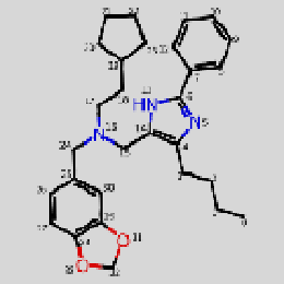 CCCCc1nc(-c2ccccc2)[nH]c1CN(CCC1CCCC1)Cc1ccc2c(c1)OCO2